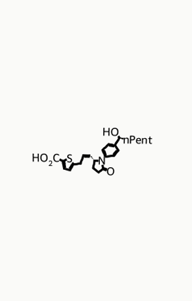 CCCCC[C@H](O)c1ccc(N2C(=O)CC[C@@H]2/C=C\Cc2ccc(C(=O)O)s2)cc1